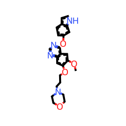 COc1cc2c(Oc3ccc4cc[nH]c4c3)ncnc2cc1OCCCN1CCOCC1